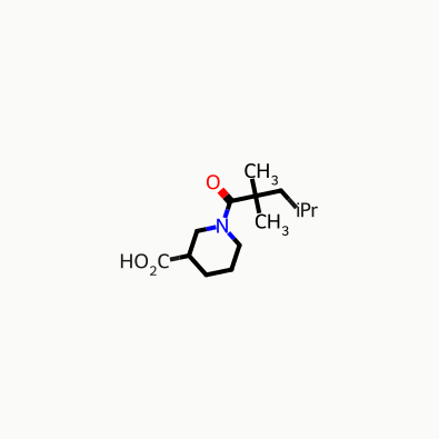 CC(C)CC(C)(C)C(=O)N1CCCC(C(=O)O)C1